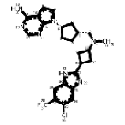 CN(C[C@@H]1CC[C@H](n2ccc3c(N)ncnc32)C1)C1CC(c2nc3cc(Cl)c(C(F)(F)F)cc3[nH]2)C1